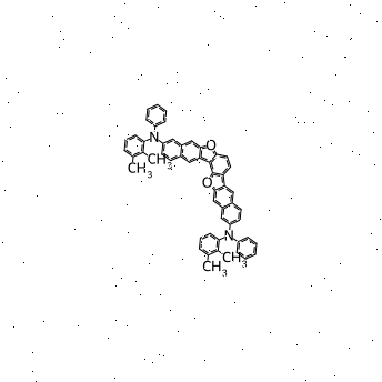 Cc1cccc(N(c2ccccc2)c2ccc3cc4c(cc3c2)oc2c4ccc3oc4cc5cc(N(c6ccccc6)c6cccc(C)c6C)ccc5cc4c32)c1C